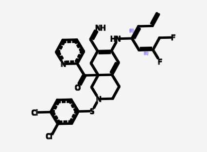 C=C/C=C(\C=C(\F)CF)NC1=C(C=N)CC2(C(=O)c3ccccn3)CN(Sc3ccc(Cl)c(Cl)c3)CCC2=C1